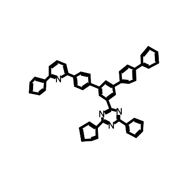 c1ccc(-c2ccc(-c3cc(-c4ccc(-c5cccc(-c6ccccc6)n5)cc4)cc(-c4nc(-c5ccccc5)nc(-c5ccccc5)n4)c3)cc2)cc1